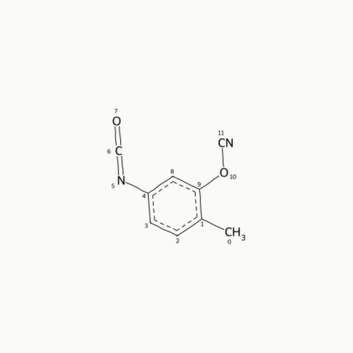 Cc1ccc(N=C=O)cc1OC#N